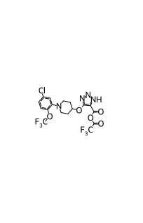 O=C(OC(=O)C(F)(F)F)c1[nH]nnc1OC1CCN(c2cc(Cl)ccc2OC(F)(F)F)CC1